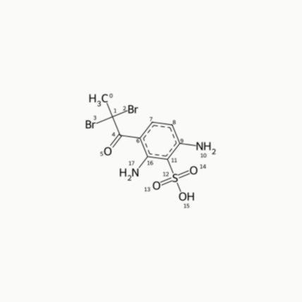 CC(Br)(Br)C(=O)c1ccc(N)c(S(=O)(=O)O)c1N